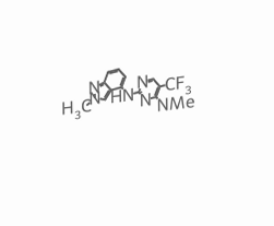 CNc1nc(Nc2cccc3nn(C)cc23)ncc1C(F)(F)F